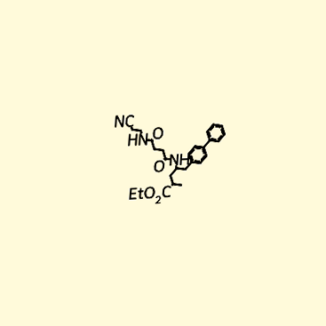 CCOC(=O)[C@H](C)CC(Cc1ccc(-c2ccccc2)cc1)NC(=O)CCC(=O)NCCC#N